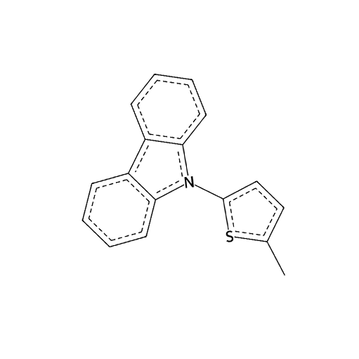 Cc1ccc(-n2c3ccccc3c3ccccc32)s1